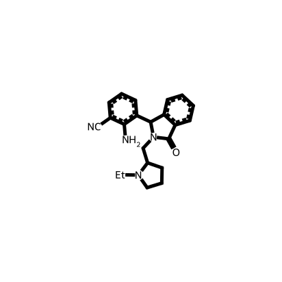 CCN1CCCC1CN1C(=O)c2ccccc2C1c1cccc(C#N)c1N